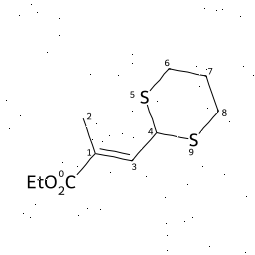 CCOC(=O)C(C)=CC1SCCCS1